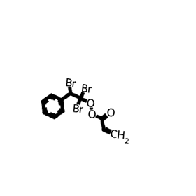 C=CC(=O)OOC(Br)(Br)C(Br)c1ccccc1